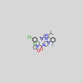 CC(C)CC(NC(C)N(C)C)c1cccc(F)c1N1CCN(C(=O)C(Cc2ccc(Cl)cc2Cl)N2CCCC2=O)CC1